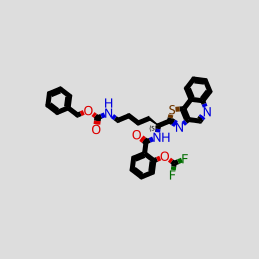 O=C(NCCCC[C@H](NC(=O)c1ccccc1OC(F)F)c1nc2cnc3ccccc3c2s1)OCc1ccccc1